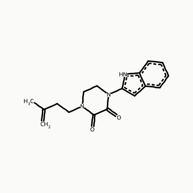 C=C(C)CCN1CCN(c2cc3ccccc3[nH]2)C(=O)C1=O